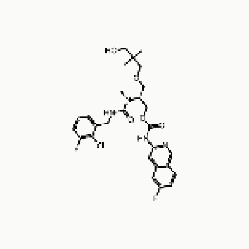 CN(C(=O)NCc1cccc(F)c1Cl)[C@@H](COCC(C)(C)CO)COC(=O)Nc1cc2cc(F)ccc2cn1